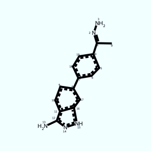 CC(=NN)c1ccc(-c2ccc3c(N)n[nH]c3c2)cc1